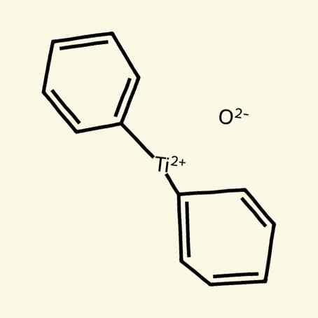 [O-2].c1cc[c]([Ti+2][c]2ccccc2)cc1